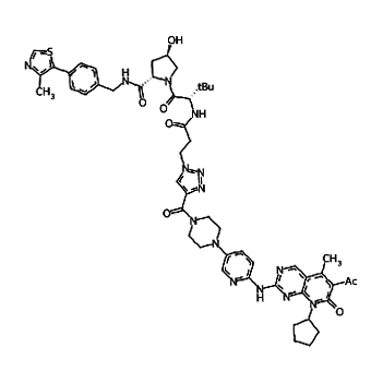 CC(=O)c1c(C)c2cnc(Nc3ccc(N4CCN(C(=O)c5cn(CCC(=O)N[C@H](C(=O)N6C[C@H](O)C[C@H]6C(=O)NCc6ccc(-c7scnc7C)cc6)C(C)(C)C)nn5)CC4)cn3)nc2n(C2CCCC2)c1=O